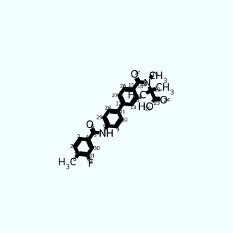 Cc1ccc(C(=O)Nc2ccc(-c3ccc(C(=O)N(C)C(C)(C)C(=O)O)cc3)cc2)cc1F